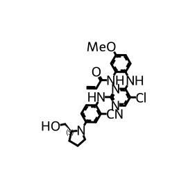 C=CC(=O)Nc1cc(OC)ccc1Nc1nc(Nc2ccc(N3CCC[C@H]3CO)cc2C#N)ncc1Cl